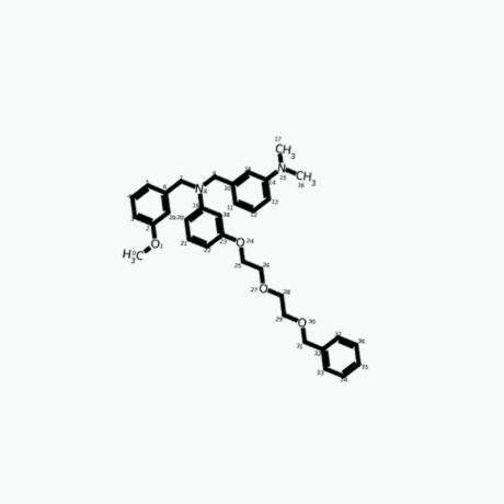 COc1cccc(CN(Cc2cccc(N(C)C)c2)c2cccc(OCCOCCOCc3ccccc3)c2)c1